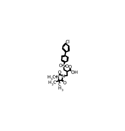 CN1C(=O)N(CC(CS(=O)(=O)c2ccc(-c3ccc(Cl)cc3)cc2)C(=O)O)C(=O)C1(C)C